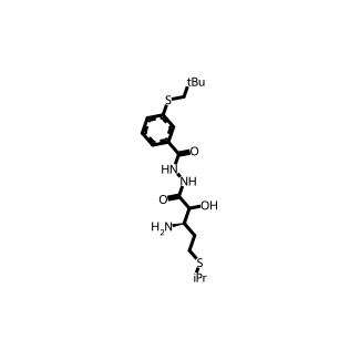 CC(C)SCC[C@@H](N)C(O)C(=O)NNC(=O)c1cccc(SCC(C)(C)C)c1